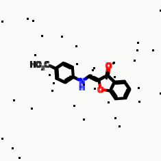 O=C(O)c1ccc(N/C=C2\Oc3ccccc3C2=O)cc1